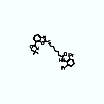 CC(C)c1cccc(C(C)C)c1NC(=O)CCCCCSc1nc2cccc(C3=NC(C)(C)CO3)c2o1